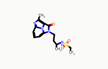 Cc1nc2cccc3n(CCC(C)NS(=O)(=O)CC(F)(F)F)c(=O)c1n23